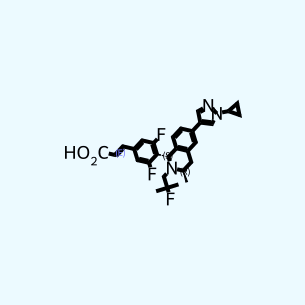 C[C@@H]1Cc2cc(-c3cnn(C4CC4)c3)ccc2[C@@H](c2c(F)cc(/C=C/C(=O)O)cc2F)N1CC(C)(C)F